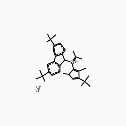 CC1=[C]([Zr+2](=[C](C)C)[CH]2c3ccc(C(C)(C)C)cc3-c3cc(C(C)(C)C)ccc32)C(C)C=C1C(C)(C)C.[Cl-].[Cl-]